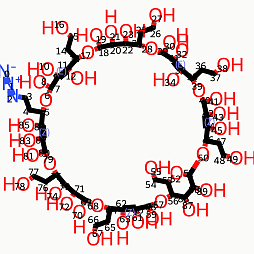 [N-]=[N+]=NCCC1OC(O)/C(O)=C(\O)C(CCO)OC(O)C(O)C(O)C(CCO)OC(O)/C(O)=C(\O)C(CCO)OC(O)/C(O)=C(/O)C(CCO)OC2OC(CO)C(OC(O)/C(O)=C(/O)C(CCO)OC(O)C(O)C(O)C(CCO)OC(O)/C(O)=C\1O)C(O)C2O